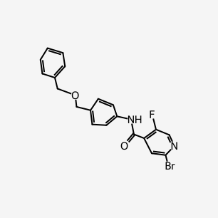 O=C(Nc1ccc(COCc2ccccc2)cc1)c1cc(Br)ncc1F